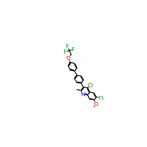 COc1cc2nc(C)c(-c3ccc(-c4ccc(OCC(F)(F)F)cc4)cc3)c(Cl)c2cc1Cl